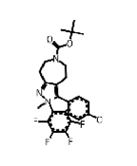 CC(C)(C)OC(=O)N1CCC2=N[N+](C)(c3c(F)c(F)c(F)c(F)c3F)C(c3ccc(Cl)cc3)=C2CC1